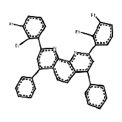 CCc1cccc(-c2cc(-c3ccccc3)c3ccc4c(-c5ccccc5)cc(-c5cccc(CC)c5CC)nc4c3n2)c1CC